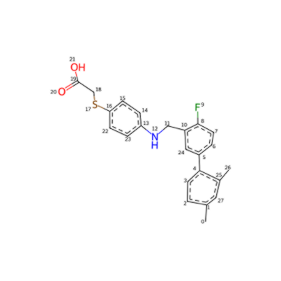 Cc1ccc(-c2ccc(F)c(CNc3ccc(SCC(=O)O)cc3)c2)c(C)c1